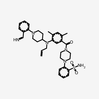 C=CCN(c1cc(C(=O)N2CCN(c3ccccc3S(N)(=O)=O)CC2)c(C)cc1C)C1CCN(c2ccccc2C=N)CC1